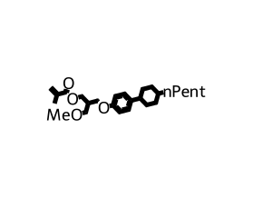 C=C(C)C(=O)OCC(COC)COc1ccc(C2CCC(CCCCC)CC2)cc1